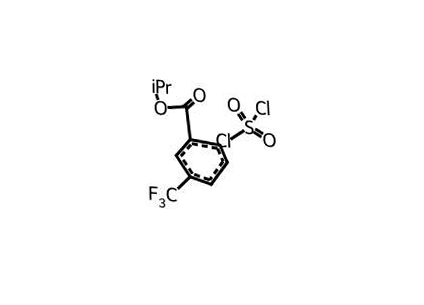 CC(C)OC(=O)c1cccc(C(F)(F)F)c1.O=S(=O)(Cl)Cl